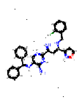 N=C(/C=C(\NCc1ccccc1F)c1ccon1)c1ncc(N=C(c2ccccc2)c2ccccc2)c(N)n1